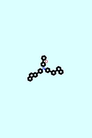 c1cc(-c2ccc(N(c3ccc(-c4ccc5c(ccc6ccccc65)c4)cc3)c3ccc4c(c3)oc3ccccc34)cc2)cc(-c2cccc3ccccc23)c1